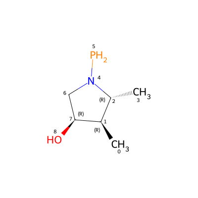 C[C@@H]1[C@@H](C)N(P)C[C@@H]1O